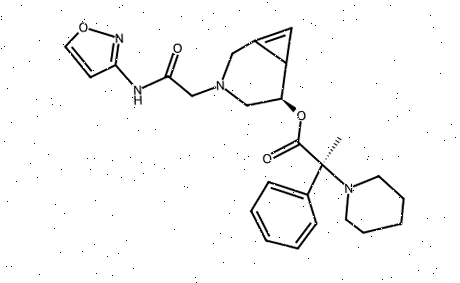 C[C@@](C(=O)O[C@H]1CN(CC(=O)Nc2ccon2)CC2=CC21)(c1ccccc1)N1CCCCC1